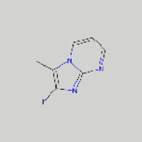 Cc1c(I)nc2ncccn12